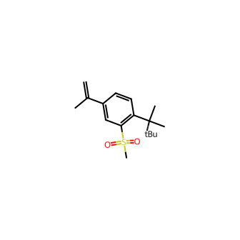 C=C(C)c1ccc(C(C)(C)C(C)(C)C)c(S(C)(=O)=O)c1